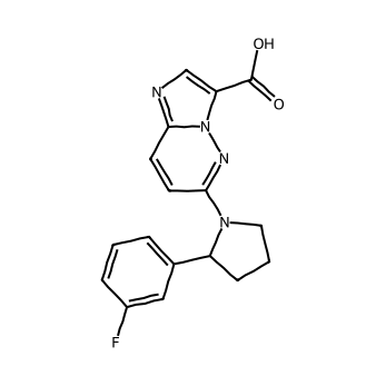 O=C(O)c1cnc2ccc(N3CCCC3c3cccc(F)c3)nn12